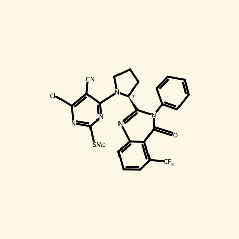 CSc1nc(Cl)c(C#N)c(N2CCC[C@H]2c2nc3cccc(C(F)(F)F)c3c(=O)n2-c2ccccc2)n1